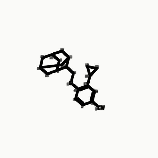 N#Cc1ccc(OCC2C3CC4CC(C3)CC2C4)c(C2CC2)c1